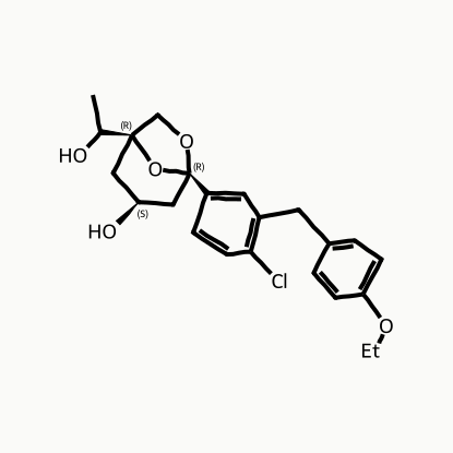 CCOc1ccc(Cc2cc([C@]34C[C@@H](O)C[C@](C(C)O)(CO3)O4)ccc2Cl)cc1